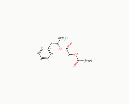 CCCCCCCC(=O)OCC(=O)OC(Cc1ccccc1)C(=O)O